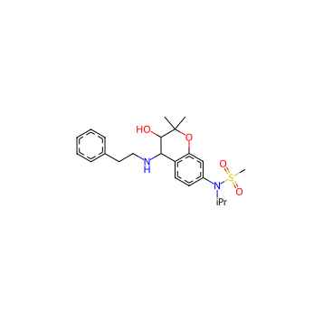 CC(C)N(c1ccc2c(c1)OC(C)(C)C(O)C2NCCc1ccccc1)S(C)(=O)=O